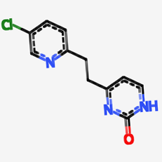 O=c1nc(CCc2ccc(Cl)cn2)cc[nH]1